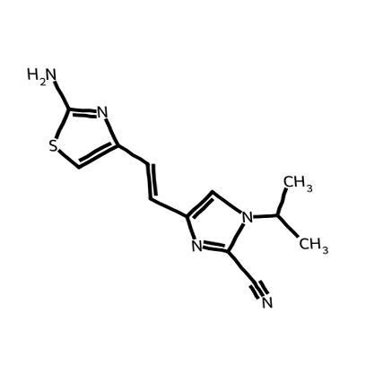 CC(C)n1cc(C=Cc2csc(N)n2)nc1C#N